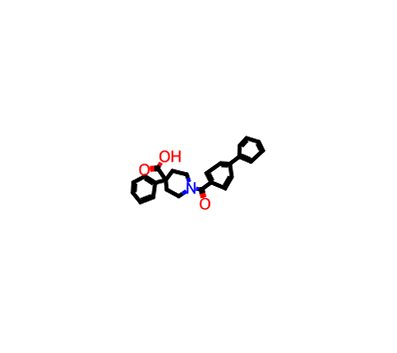 O=C(c1ccc(-c2ccccc2)cc1)N1CCC(C(=O)O)(c2ccccc2)CC1